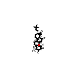 CC1[C@]2(CCC(C)(C)C)CC[C@@]3(C)[C@]4(C)CC[C@@H]5[C@@](C)(C4=CC(=O)[C@]13OC2=O)[C@H]1O[C@@]1(C#N)C(=O)[C@@]5(C)O